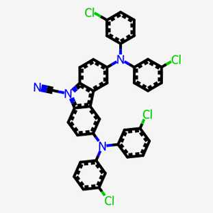 N#Cn1c2ccc(N(c3cccc(Cl)c3)c3cccc(Cl)c3)cc2c2cc(N(c3cccc(Cl)c3)c3cccc(Cl)c3)ccc21